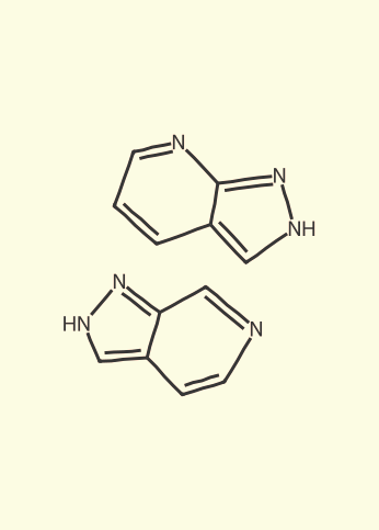 c1cc2c[nH]nc2cn1.c1cnc2n[nH]cc2c1